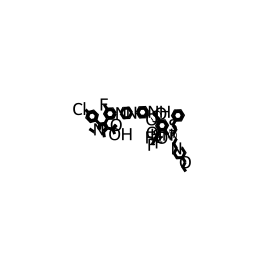 CCOC1CCN(CC[C@H](CSc2ccccc2)Nc2ccc(S(=O)(=O)Nc3ccc(N4CCN(c5cc(F)cc(-c6c(C(=O)O)c(C)n(CC)c6-c6ccc(Cl)cc6)c5)CC4)cc3)cc2S(=O)(=O)C(F)(F)F)CC1